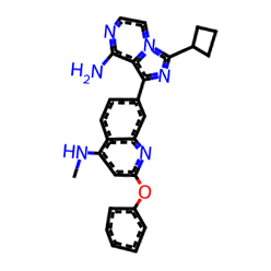 CNc1cc(Oc2ccccc2)nc2cc(-c3nc(C4CCC4)n4ccnc(N)c34)ccc12